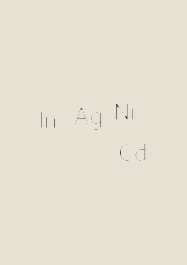 [Ag].[Cd].[In].[Ni]